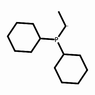 C[CH]P(C1CCCCC1)C1CCCCC1